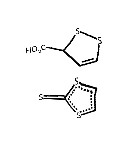 O=C(O)C1C=CSS1.S=c1sccs1